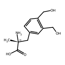 C[C@@](N)(Cc1ccc(CO)c(CO)c1)C(=O)O